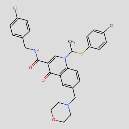 CC(Sc1ccc(Cl)cc1)n1cc(C(=O)NCc2ccc(Cl)cc2)c(=O)c2cc(CN3CCOCC3)ccc21